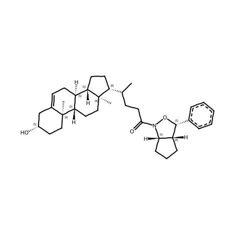 CC(CCC(=O)N1O[C@H](c2ccccc2)[C@@H]2CCC[C@@H]21)[C@H]1CC[C@H]2[C@@H]3CC=C4C[C@@H](O)CC[C@]4(C)[C@H]3CC[C@]12C